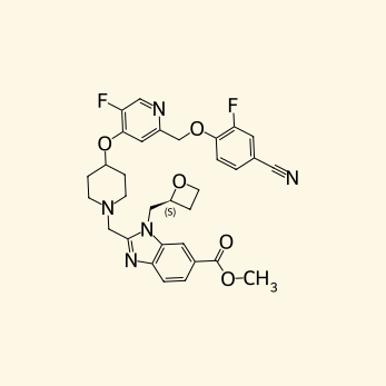 COC(=O)c1ccc2nc(CN3CCC(Oc4cc(COc5ccc(C#N)cc5F)ncc4F)CC3)n(C[C@@H]3CCO3)c2c1